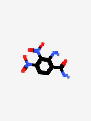 NC(=O)c1ccc([N+](=O)[O-])c([N+](=O)[O-])c1N